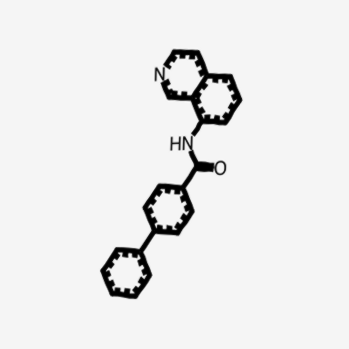 O=C(Nc1cccc2ccncc12)c1ccc(-c2ccccc2)cc1